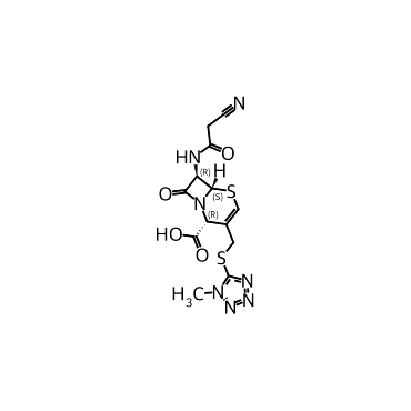 Cn1nnnc1SCC1=CS[C@H]2[C@H](NC(=O)CC#N)C(=O)N2[C@H]1C(=O)O